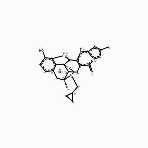 Cc1cc2[nH]c3c(c(=O)n2n1)C[C@@]1(O)[C@H]2Cc4ccc(O)c5c4[C@@]1(CCN2CC1CC1)[C@H]3O5